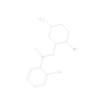 CC1CCC(C(C)C)C(OC(=O)c2ccccc2S)C1